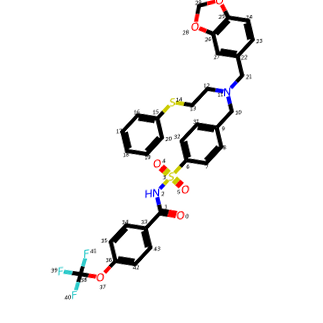 O=C(NS(=O)(=O)c1ccc(CN(CCSc2ccccc2)Cc2ccc3c(c2)OCO3)cc1)c1ccc(OC(F)(F)F)cc1